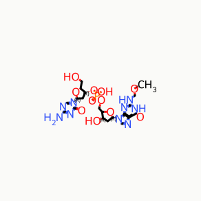 COCNc1nc2c(ncn2[C@H]2C[C@@H](O)C(COP(=O)(O)O[C@@H]3C[C@H](n4cnc(N)nc4=O)OC3CO)O2)c(=O)[nH]1